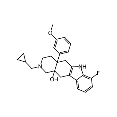 COc1cccc(C23CCN(CC4CC4)CC2(O)Cc2c([nH]c4c(F)cccc24)C3)c1